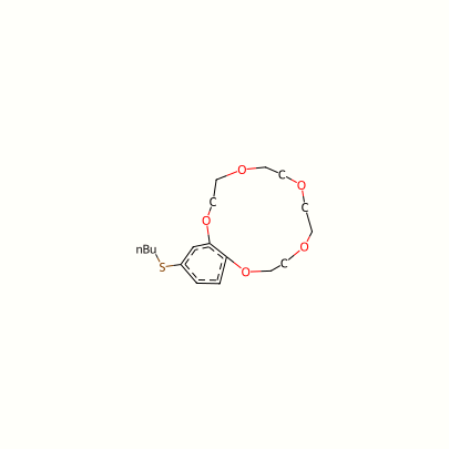 CCCCSc1ccc2c(c1)OCCOCCOCCOCCO2